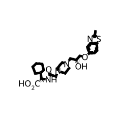 Cc1nc2cc(OC[C@H](O)CN3CCN(CC(=O)N[C@H](C(=O)O)C4CCCCC4)CC3)ccc2s1